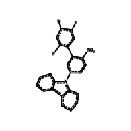 O=[N+]([O-])c1ccc(-n2c3ccccc3c3ccccc32)cc1-c1cc(F)c(Br)cc1F